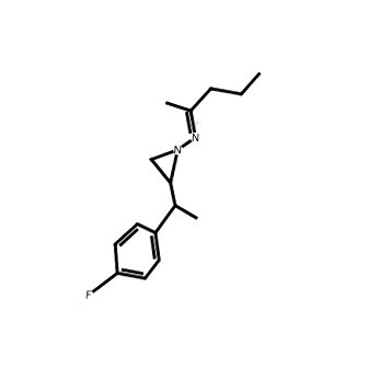 CCC/C(C)=N/N1CC1C(C)c1ccc(F)cc1